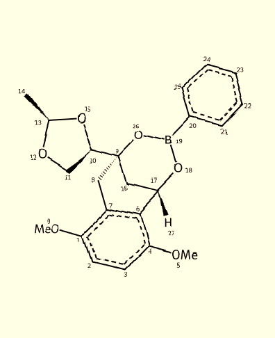 COc1ccc(OC)c2c1C[C@@]1([C@H]3CO[C@@H](C)O3)C[C@@H]2OB(c2ccccc2)O1